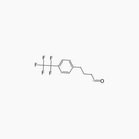 O=[C]CCCc1ccc(C(F)(F)C(F)(F)F)cc1